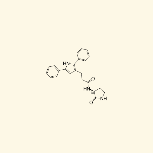 O=C(CCc1cc(-c2ccccc2)[nH]c1-c1ccccc1)N[C@H]1CCNC1=O